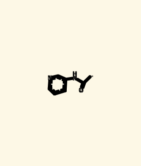 [CH2]C(=O)Nc1cccnc1